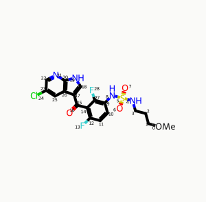 COCCCNS(=O)(=O)Nc1ccc(F)c(C(=O)c2c[nH]c3ncc(Cl)cc23)c1F